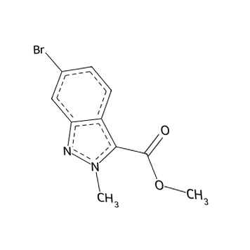 COC(=O)c1c2ccc(Br)cc2nn1C